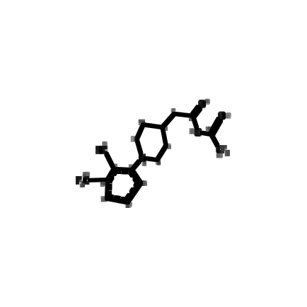 N#Cc1c(N2CCC(CC(=O)OC(=O)C(F)(F)F)CC2)cccc1C(F)(F)F